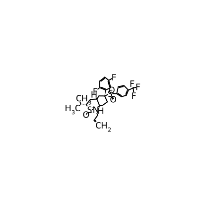 C=CCN1[C@H]2CC[C@@](c3cc(F)ccc3F)(S(=O)(=O)c3ccc(C(F)(F)F)cc3)C[C@H]2C[C@@H](C(C)C)[S+]1[O-]